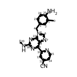 Cc1cc(Cn2cnc3c(-c4cc(C#N)ccn4)nc(NI)nc32)ccc1N